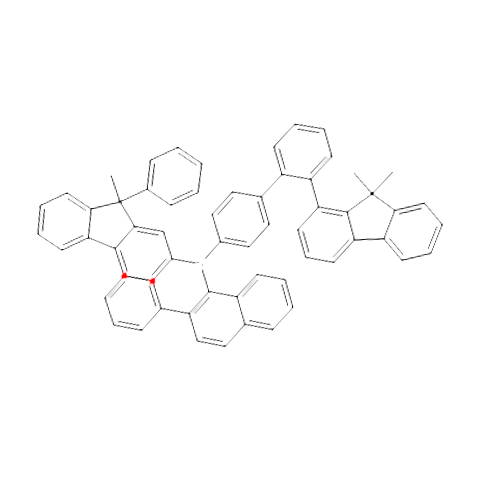 CC1(C)c2ccccc2-c2cccc(-c3ccccc3-c3ccc(N(c4ccc5c(c4)C(C)(c4ccccc4)c4ccccc4-5)c4c(-c5ccccc5)ccc5ccccc45)cc3)c21